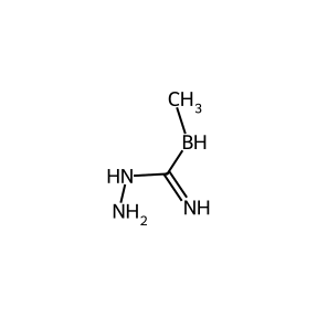 CBC(=N)NN